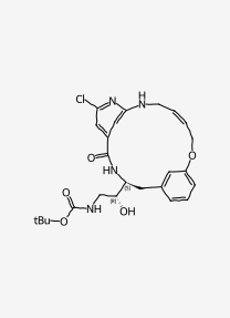 CC(C)(C)OC(=O)NC[C@@H](O)[C@@H]1Cc2cccc(c2)OCC=CCNc2cc(cc(Cl)n2)C(=O)N1